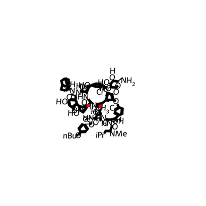 CCCCOc1ccc(S(=O)(=O)NC(=O)C[C@@H]2NC(=O)[C@H](NC(=O)[C@@H](CC(C)C)NC)[C@H](O)c3ccc(c(C)c3)Oc3cc4cc(c3O[C@@H]3O[C@H](CN)[C@@H](O)[C@H](O)[C@H]3O)Oc3ccc(cc3Cl)[C@@H](O)[C@@H]3NC(=O)[C@H](NC(=O)[C@@H]4NC2=O)c2ccc(O)c(c2)-c2c(O)cc(O)cc2[C@@H](C(=O)NC2C4CC5CC(C4)CC2C5)NC3=O)cc1